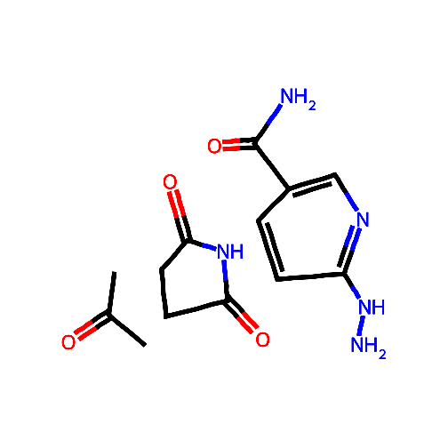 CC(C)=O.NNc1ccc(C(N)=O)cn1.O=C1CCC(=O)N1